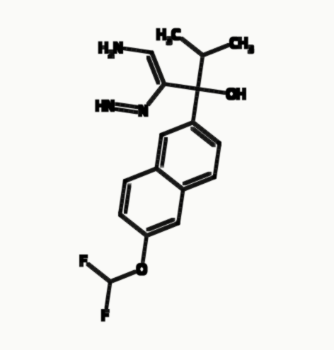 CC(C)C(O)(/C(=C/N)N=N)c1ccc2cc(OC(F)F)ccc2c1